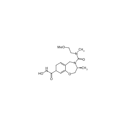 COCCN(C)C(=O)N1CC2=CCC(C(=O)NO)C=C2OC[C@@H]1C